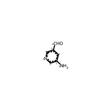 Nc1cncc(C=O)c1